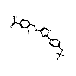 O=C(O)c1ccc(COc2n[nH]c(-c3ccc(OC(F)(F)F)cc3)n2)c(F)c1